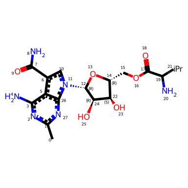 Cc1nc(N)c2c(C(N)=O)cn([C@@H]3O[C@H](COC(=O)C(N)C(C)C)[C@@H](O)[C@H]3O)c2n1